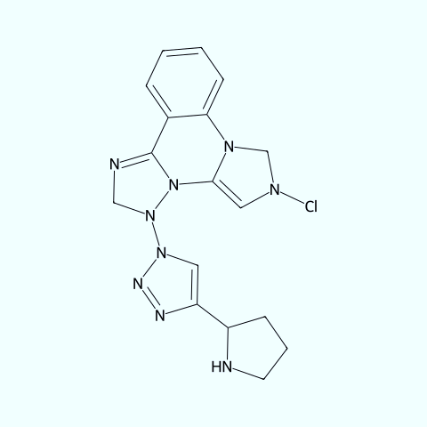 ClN1C=C2N(C1)c1ccccc1C1=NCN(n3cc(C4CCCN4)nn3)N21